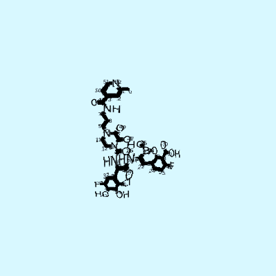 Cc1cc(C(=O)NCCCN2CCN(C(=O)NC(C(=O)N[C@H]3Cc4ccc(F)c(C(=O)O)c4OB3O)c3cc(F)c(O)c(O)c3Cl)C(=O)C2=O)ccn1